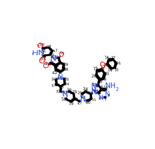 Nc1ncnc2c1c(-c1ccc(Oc3ccccc3)cc1)nn2C1CCN(CC2CCN(CC3CCN(c4ccc5c(c4)C(=O)N(C4CCC(=O)NC4=O)C5=O)CC3)CC2)CC1